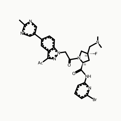 CC(=O)c1nn(CC(=O)N2C[C@@](F)(CN(C)C)C[C@H]2C(=O)Nc2cccc(Br)n2)c2ccc(-c3cnc(C)nc3)cc12